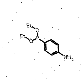 CCOP(OCC)c1ccc(N)cc1